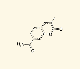 Cc1cc2ccc(C(N)=O)cc2oc1=O